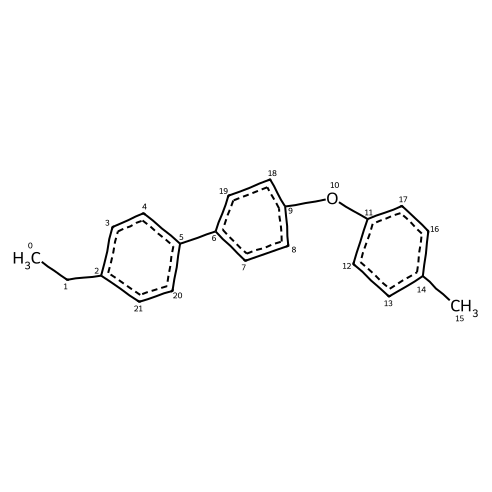 CCc1ccc(-c2ccc(Oc3ccc(C)cc3)cc2)cc1